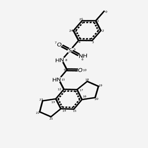 Cc1ccc(S(=N)(=O)NC(=O)Nc2c3c(cc4c2CCC4)CCC3)cc1